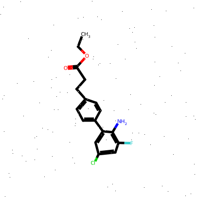 CCOC(=O)CCc1ccc(-c2cc(Cl)cc(F)c2N)cc1